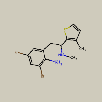 CNC(Cc1cc(Br)cc(Br)c1N)c1sccc1C